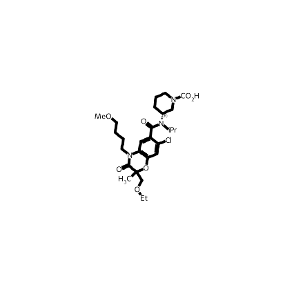 CCOCC1(C)Oc2cc(Cl)c(C(=O)N(C(C)C)[C@@H]3CCCN(C(=O)O)C3)cc2N(CCCCOC)C1=O